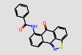 O=C(Nc1cccc2c1C(=O)c1cccc3snc-2c13)c1ccccc1